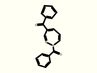 O=C(C1=CC=CN(C(=O)c2ccccc2)N=C1)c1ccccc1